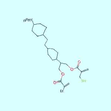 C=C(CC)C(=O)OCC(COC(=O)C(=C)CS)C1CCC(CCC2CCC(CCCCC)CC2)CC1